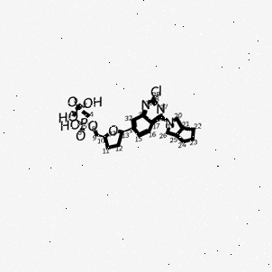 O=P(O)(O)CP(=O)(O)OC[C@@H]1CC[C@H](c2ccc3c(N4CC5CCCC5C4)nc(Cl)nc3c2)O1